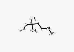 CCCOC(C)(C)CCNC(C)C